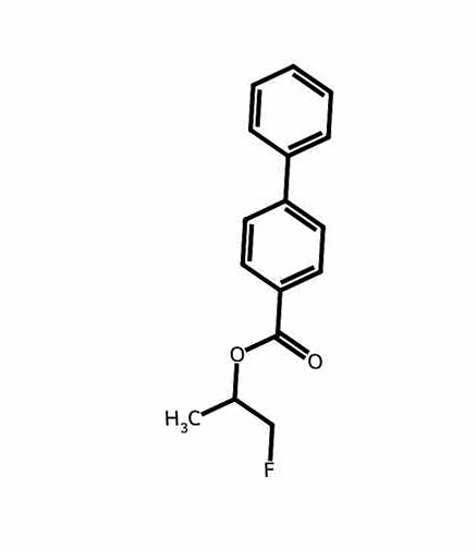 CC(CF)OC(=O)c1ccc(-c2ccccc2)cc1